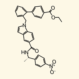 CCOC(=O)c1ccc(-c2ccccc2Cn2ccc3cc(C(=O)N[C@@H](C)c4ccc([N+](=O)[O-])cc4)ccc32)cc1